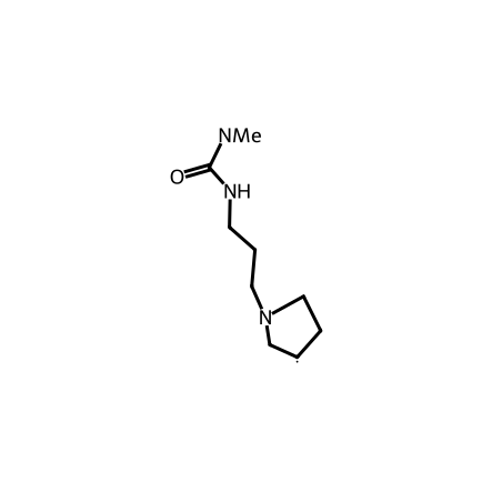 CNC(=O)NCCCN1C[CH]CC1